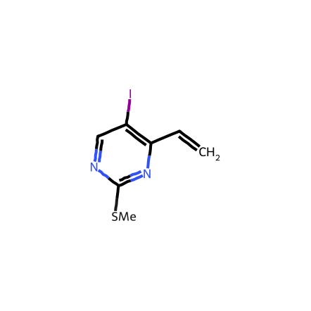 C=Cc1nc(SC)ncc1I